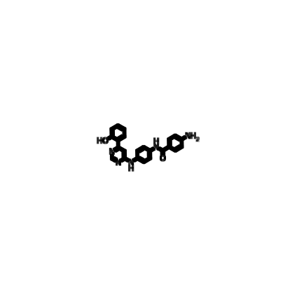 Nc1ccc(C(=O)Nc2ccc(Nc3cc(-c4ccccc4O)ncn3)cc2)cc1